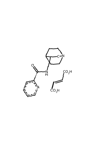 O=C(NC1CN2CCC1CC2)c1ccccn1.O=C(O)C=CC(=O)O